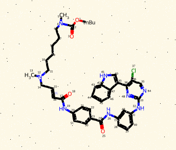 CCCCOC(=O)N(C)CCCCCCN(C)C/C=C/C(=O)Nc1ccc(C(=O)Nc2cccc(Nc3ncc(Cl)c(-c4c[nH]c5ccccc45)n3)c2)cc1